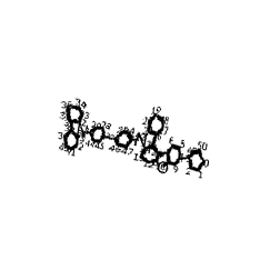 c1ccc(-c2ccc3c(c2)oc2ccc4c(c5ccccc5n4-c4ccc(-c5ccc(-n6c7ccccc7c7ccccc76)cc5)cc4)c23)cc1